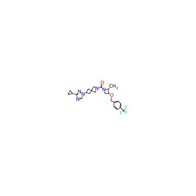 CC1C(OCc2ccc(C(F)(F)F)cc2)CN1C(=O)N1CC2(CC(n3cnc(C4CC4)n3)C2)C1